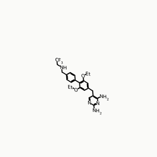 CCOc1cc(Cc2cnc(N)nc2N)cc(OCC)c1-c1ccc(CNCC(F)(F)F)cc1